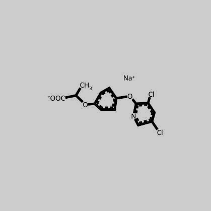 CC(Oc1ccc(Oc2ncc(Cl)cc2Cl)cc1)C(=O)[O-].[Na+]